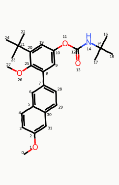 COc1ccc2cc(-c3cc(OC(=O)NC(C)(C)C)cc(C(C)(C)C)c3OC)ccc2c1